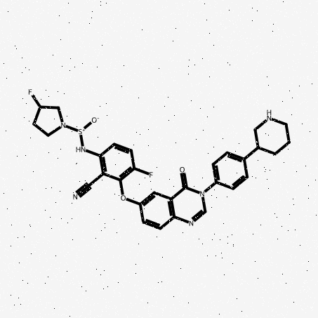 N#Cc1c(N[S+]([O-])N2CCC(F)C2)ccc(F)c1Oc1ccc2ncn(-c3ccc(C4CCCNC4)cc3)c(=O)c2c1